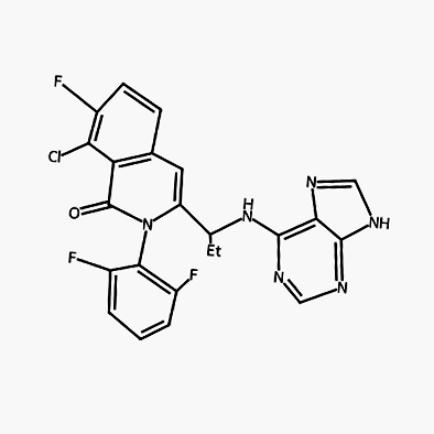 CCC(Nc1ncnc2[nH]cnc12)c1cc2ccc(F)c(Cl)c2c(=O)n1-c1c(F)cccc1F